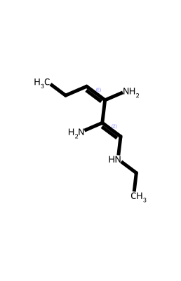 CC/C=C(N)\C(N)=C\NCC